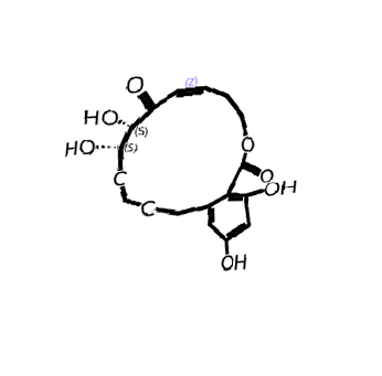 O=C1OCC/C=C\C(=O)[C@@H](O)[C@@H](O)CCCCc2cc(O)cc(O)c21